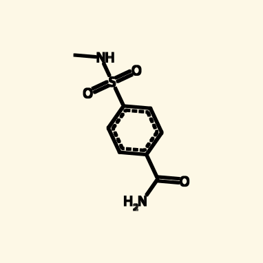 CNS(=O)(=O)c1ccc(C(N)=O)cc1